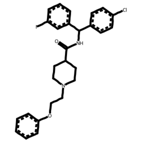 O=C(NC(c1ccc(Cl)cc1)c1cccc(I)c1)C1CCN(CCOc2ccccc2)CC1